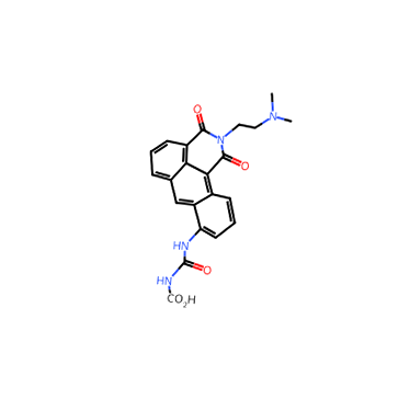 CN(C)CCN1C(=O)c2cccc3cc4c(NC(=O)NC(=O)O)cccc4c(c23)C1=O